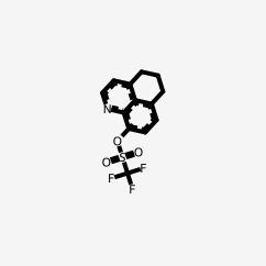 O=S(=O)(Oc1ccc2c3c(ccnc13)CCC2)C(F)(F)F